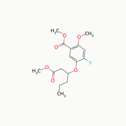 CCCC(CC(=O)OC)Oc1cc(C(=O)OC)c(OC)cc1F